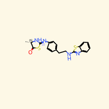 C[C@@H]1N/C(=N/c2ccc(CCNc3nc4ccccc4s3)cc2)SC1=O